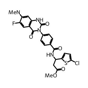 CNc1cc2[nH]c(=O)n(-c3ccc(C(=O)NC(CC(=O)OC)c4ccc(Cl)s4)cc3)c(=O)c2cc1F